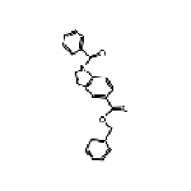 O=C(OCc1ccccc1)c1ccc2c(ccn2C(=O)c2ccccc2)c1